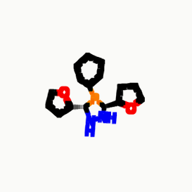 c1ccc(P2[C@@H](c3ccco3)NN[C@@H]2c2ccco2)cc1